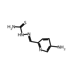 NC(=S)NN=Cc1ccc(N)cn1